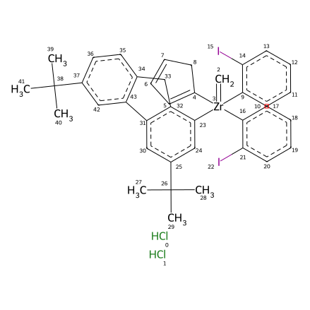 Cl.Cl.[CH2]=[Zr]([C]1=CC=CC1)([c]1ccccc1I)([c]1ccccc1I)[c]1cc(C(C)(C)C)cc2c1Cc1ccc(C(C)(C)C)cc1-2